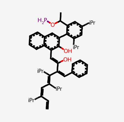 C=C\C(=C/C(=C(C(=C/c1ccccc1)/C(O)=C/c1c(O)c(-c2c(C(C)C)cc(C(C)C)cc2C(C)OP)cc2ccccc12)\C(C)C)C(C)C)C(C)C